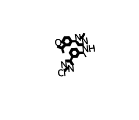 Cc1nc(N[C@@H](C)c2cccc(-c3cnc(Cl)nc3)c2)cc(-c2ccc3occ(C)c3c2)n1